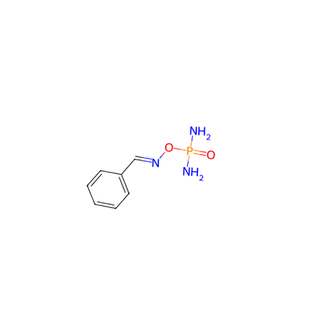 NP(N)(=O)ON=Cc1ccccc1